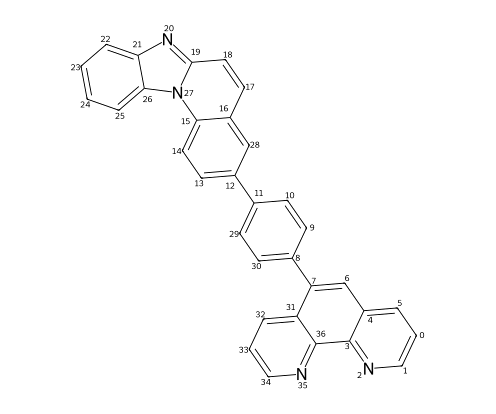 c1cnc2c(c1)cc(-c1ccc(-c3ccc4c(ccc5nc6ccccc6n54)c3)cc1)c1cccnc12